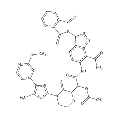 COc1cc(-n2nc(N3CCOC(C(OC(C)=O)C(=O)Nc4ccc5c(N6C(=O)c7ccccc7C6=O)nsc5c4C(N)=O)C3=O)cc2C)ccn1